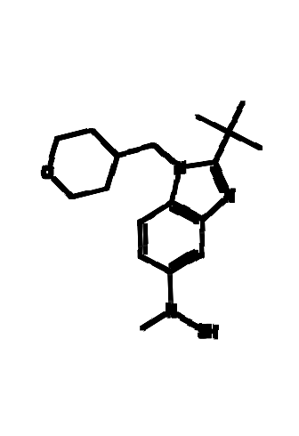 CN(S)c1ccc2c(c1)nc(C(C)(C)C)n2CC1CCOCC1